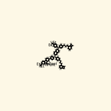 CCCCCC1(CCCCC)c2cc(-c3ccc(N(c4ccc(CCCc5cccc6c5CC6)cc4)c4ccc5cc(N(c6ccc(CCCc7cccc8c7CC8)cc6)c6ccc(C(C)(CC)CC)cc6)ccc5c4)cc3)ccc2-c2ccc(C(C)(CC)CC)cc21